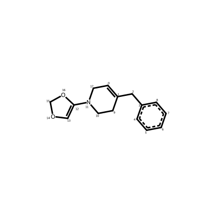 C1=C(Cc2ccccc2)CCN(C2=COCO2)C1